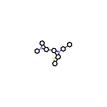 c1ccc(-c2ccc(-n3c4ccc(-c5ccc6c(c5)c5ccccc5n6-c5ccccc5)cc4c4c5sc6ccccc6c5ccc43)cc2)cc1